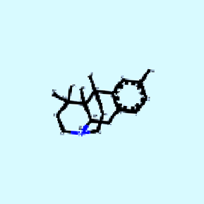 Cc1ccc2c(c1)C1(C)CCN3CCC(C)(C)C1(C)C3C2